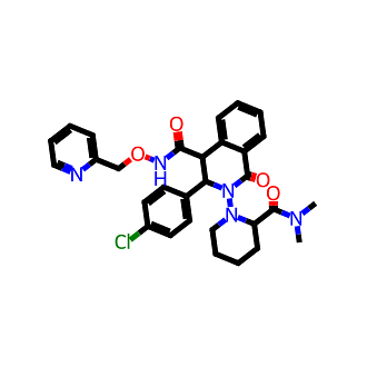 CN(C)C(=O)C1CCCCN1N1C(=O)c2ccccc2C(C(=O)NOCc2ccccn2)C1c1ccc(Cl)cc1